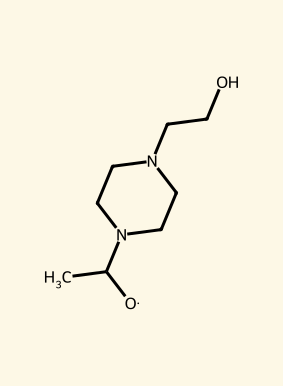 CC([O])N1CCN(CCO)CC1